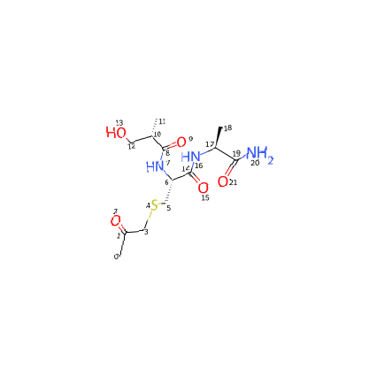 CC(=O)CSC[C@H](NC(=O)[C@@H](C)CO)C(=O)N[C@@H](C)C(N)=O